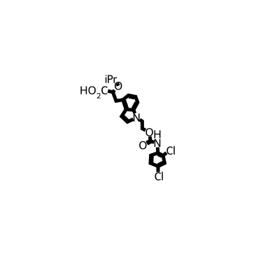 CC(C)OC(Cc1cccc2c1ccn2CCOC(=O)Nc1ccc(Cl)cc1Cl)C(=O)O